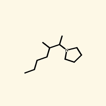 CCCCC(C)C(C)N1CCCC1